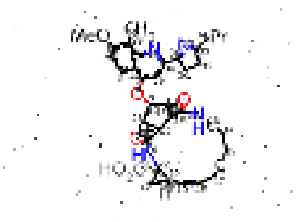 COc1ccc2c(O[C@H]3C[C@H]4C(=O)NCCCCC/C=C\[C@@H]5C[C@@]5(C(=O)O)NC(=O)[C@@H]4C3)cc(C3=NC(C(C)C)=CC3)nc2c1C